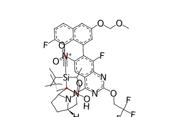 COCOc1cc(-c2c([N+](=O)[O-])cc3c(N4C[C@@H]5CC[C@@](C(C)(C)C)(C4)N5C(=O)O)nc(OCC(F)(F)F)nc3c2F)c2c(C#C[Si](C(C)C)(C(C)C)C(C)C)c(F)ccc2c1